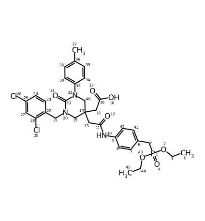 CCOP(=O)(Cc1ccc(NC(=O)CC2(CC(=O)O)CN(Cc3ccc(Cl)cc3Cl)C(=O)N(c3ccc(C)cc3)C2)cc1)OCC